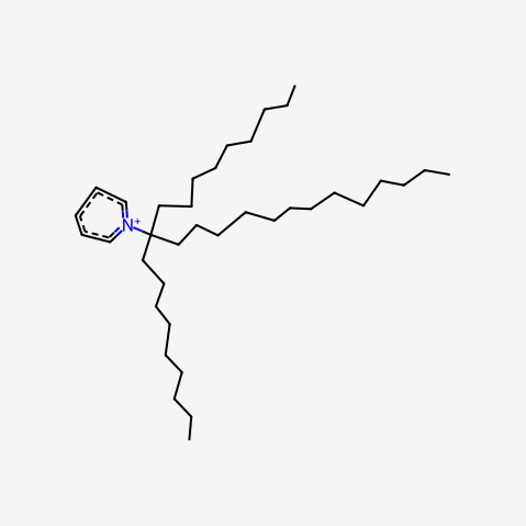 CCCCCCCCCCCCCC(CCCCCCCCC)(CCCCCCCCC)[n+]1ccccc1